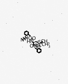 CC(C)(C)SSC[C@H](NC(=O)OCc1ccccc1N=[N+]=[N-])C(=O)NCc1ccccc1